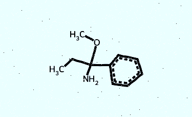 C[CH]C(N)(OC)c1ccccc1